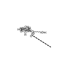 C#CC#CC#CC#CC#CC#CC#CC#CC(=O)OC[C@H](COP(=O)(O)OC1C(O)[C@H](O)[C@H](OP(=O)(O)O)C(O)[C@@H]1O)OC(=O)CCCCCCCCCCCCCCC